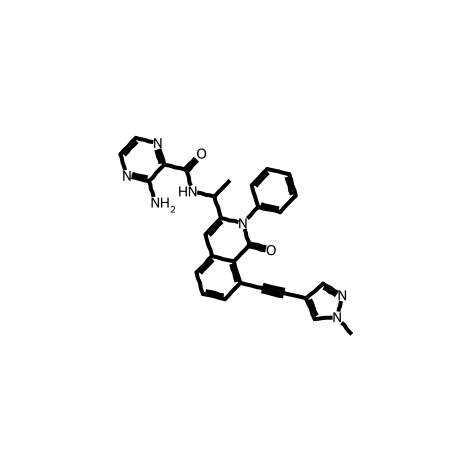 CC(NC(=O)c1nccnc1N)c1cc2cccc(C#Cc3cnn(C)c3)c2c(=O)n1-c1ccccc1